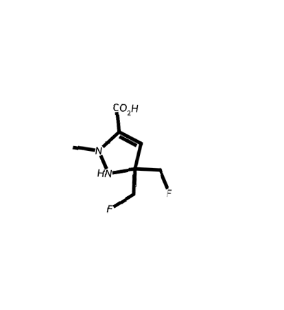 CN1NC(CF)(CF)C=C1C(=O)O